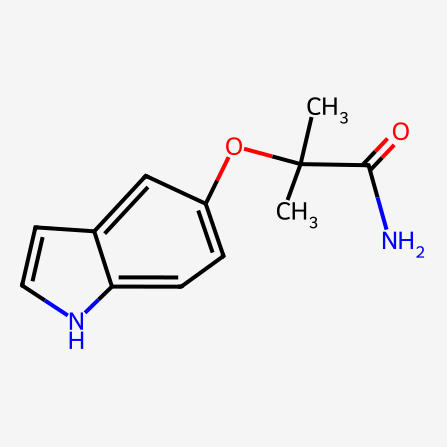 CC(C)(Oc1ccc2[nH]ccc2c1)C(N)=O